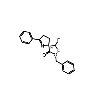 O=C(OCc1ccccc1)[C@@]1(C(F)F)CCC(c2ccccc2)=N1